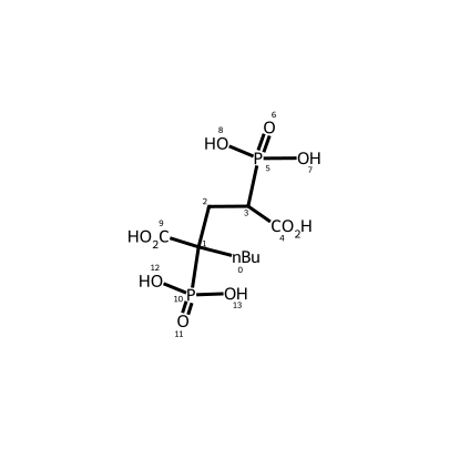 CCCCC(CC(C(=O)O)P(=O)(O)O)(C(=O)O)P(=O)(O)O